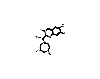 CCC[C@@H](C1N=c2cc(F)c(Cl)cc2=CN1CC)N1CCN(C)C[C@H](C)C1